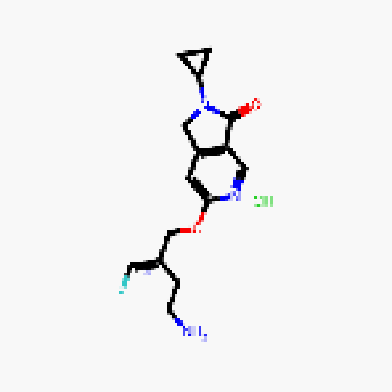 Cl.NCC/C(=C\F)COc1cc2c(cn1)C(=O)N(C1CC1)C2